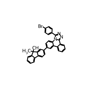 CC1(C)c2ccccc2-c2ccc(-c3ccc4c(c3)c3ccccc3c3nnc(-c5ccc(Br)cc5)n43)cc21